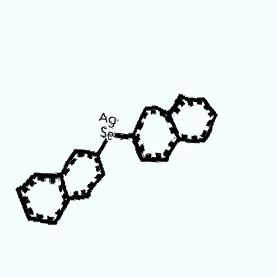 [Ag].c1ccc2cc([Se]c3ccc4ccccc4c3)ccc2c1